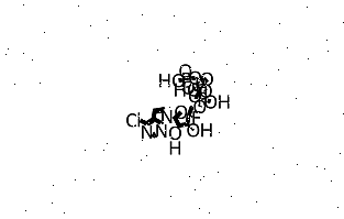 O=P(O)(O)OP(=O)(O)OP(=O)(O)OC[C@@]1(F)O[C@@H](n2ccc3c(Cl)ncnc32)[C@H](O)[C@@H]1O